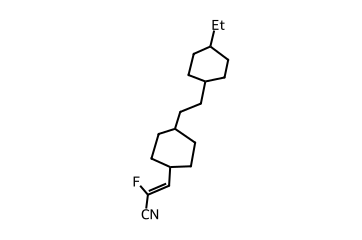 CCC1CCC(CCC2CCC(C=C(F)C#N)CC2)CC1